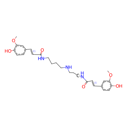 COc1cc(/C=C/C(=O)NCCCCNCCCNC(=O)/C=C/c2ccc(O)c(OC)c2)ccc1O